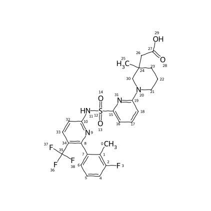 Cc1c(F)cccc1-c1nc(NS(=O)(=O)c2cccc(N3CCCC(C)(CC(=O)O)C3)n2)ccc1C(F)(F)F